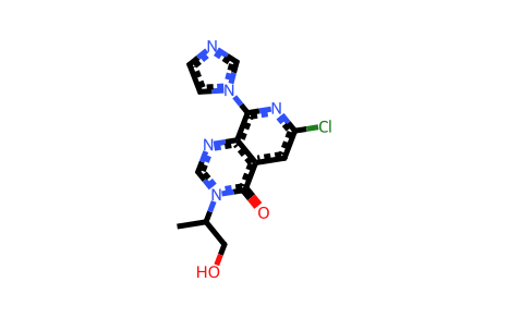 CC(CO)n1cnc2c(-n3ccnc3)nc(Cl)cc2c1=O